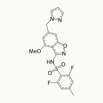 COc1cc(Cn2cccn2)cc2onc(NS(=O)(=O)c3c(F)cc(C)cc3F)c12